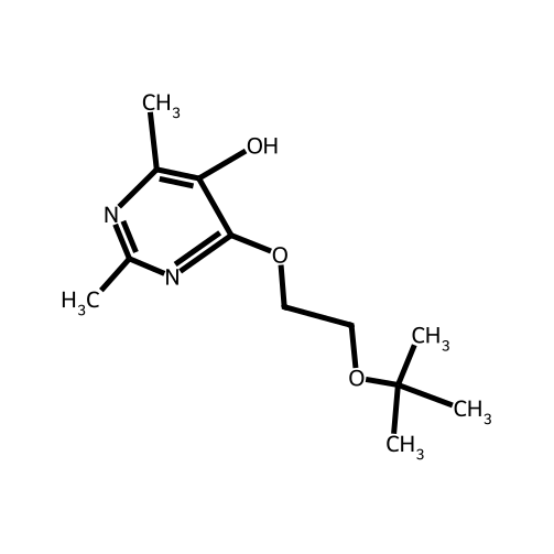 Cc1nc(C)c(O)c(OCCOC(C)(C)C)n1